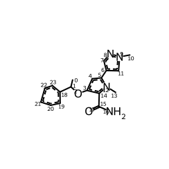 CC(Oc1cc(-c2cnn(C)c2)n(C)c1C(N)=O)c1ccccc1